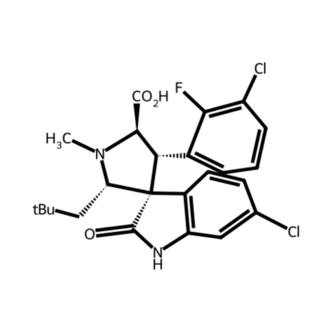 CN1[C@@H](CC(C)(C)C)[C@@]2(C(=O)Nc3cc(Cl)ccc32)[C@@H](c2cccc(Cl)c2F)[C@@H]1C(=O)O